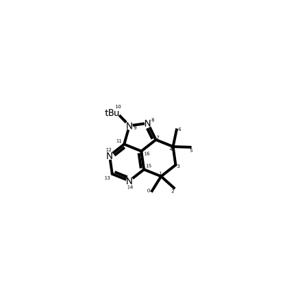 CC1(C)CC(C)(C)c2nn(C(C)(C)C)c3ncnc1c23